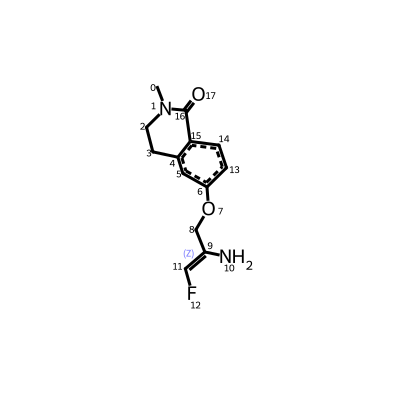 CN1CCc2cc(OC/C(N)=C/F)ccc2C1=O